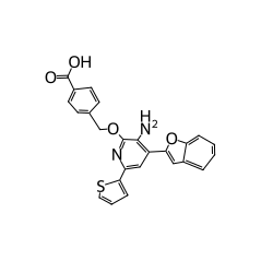 Nc1c(-c2cc3ccccc3o2)cc(-c2cccs2)nc1OCc1ccc(C(=O)O)cc1